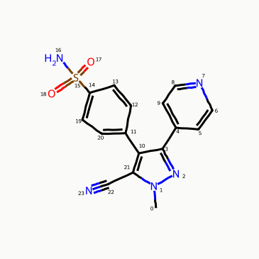 Cn1nc(-c2ccncc2)c(-c2ccc(S(N)(=O)=O)cc2)c1C#N